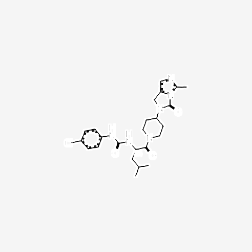 Cc1ncc2n1C(=O)N(C1CCN(C(=O)[C@@H](CC(C)C)NC(=O)Nc3ccc(Cl)cc3)CC1)C2